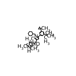 CSNC(C)(C)CNC(=O)c1cc(-c2cc(C(C)(C)C)cc(C3(C)CC3)c2)n(CC2CCCCC2)c1C